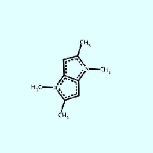 Cc1cc2c(cc(C)n2C)n1C